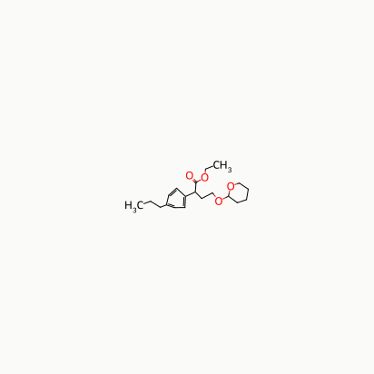 CCCc1ccc(C(CCOC2CCCCO2)C(=O)OCC)cc1